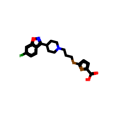 O=C(O)c1ccc(SCCCN2CCC(c3noc4cc(F)ccc34)CC2)s1